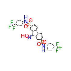 O=S(=O)(NC1CCC(C(F)(F)F)CC1)c1ccc2c(c1)C(=NO)c1cc(S(=O)(=O)NC3CCC(C(F)(F)F)CC3)ccc1-2